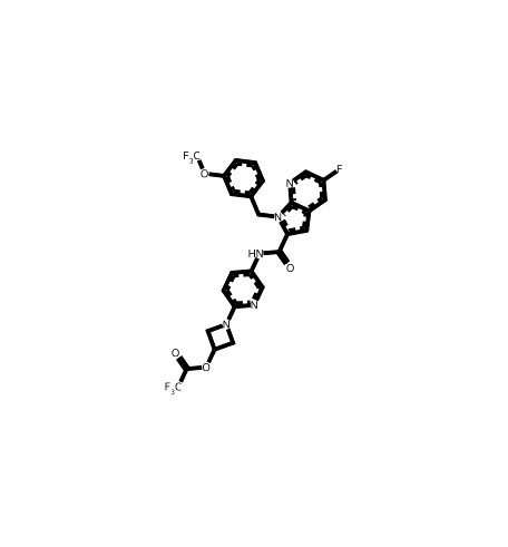 O=C(Nc1ccc(N2CC(OC(=O)C(F)(F)F)C2)nc1)c1cc2cc(F)cnc2n1Cc1cccc(OC(F)(F)F)c1